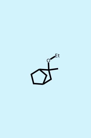 CCOC1(C)CC2CCC1C2